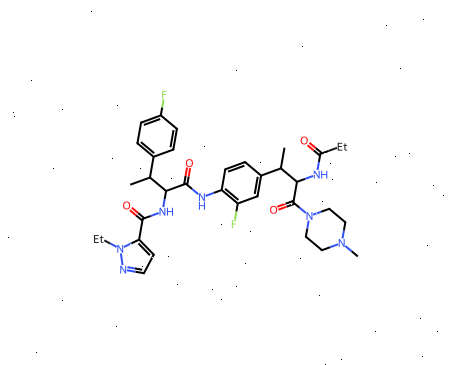 CCC(=O)NC(C(=O)N1CCN(C)CC1)C(C)c1ccc(NC(=O)C(NC(=O)c2ccnn2CC)C(C)c2ccc(F)cc2)c(F)c1